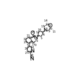 Cc1cn(-c2ccc(N3C[C@@H](C)O[C@@H](C)C3)cc2)c(=O)c2cccc(-c3ccc(C#N)nc3)c12